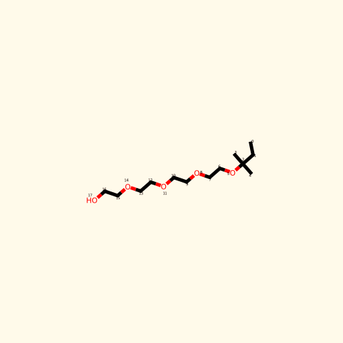 CCC(C)(C)OCCOCCOCCOCCO